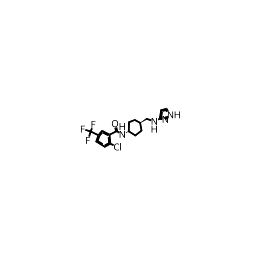 O=C(N[C@H]1CC[C@H](CNc2cc[nH]n2)CC1)c1cc(C(F)(F)F)ccc1Cl